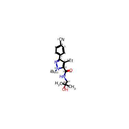 CCc1c(-c2ccc(C#N)cc2)nn(C(C)CC)c1C(=O)NCC(C)(C)O